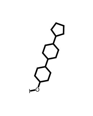 IOC1CCC(C2CCC(C3CCCC3)CC2)CC1